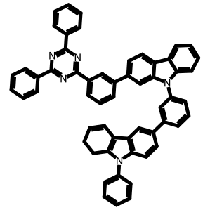 C1=Cc2c(n(-c3ccccc3)c3ccc(-c4cccc(-n5c6ccccc6c6ccc(-c7cccc(-c8nc(-c9ccccc9)nc(-c9ccccc9)n8)c7)cc65)c4)cc23)CC1